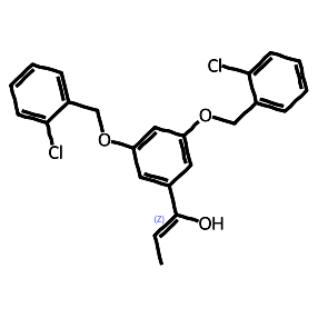 C/C=C(\O)c1cc(OCc2ccccc2Cl)cc(OCc2ccccc2Cl)c1